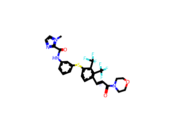 Cn1ccnc1C(=O)Nc1cccc(Sc2ccc(/C=C/C(=O)N3CCOCC3)c(C(F)(F)F)c2C(F)(F)F)c1